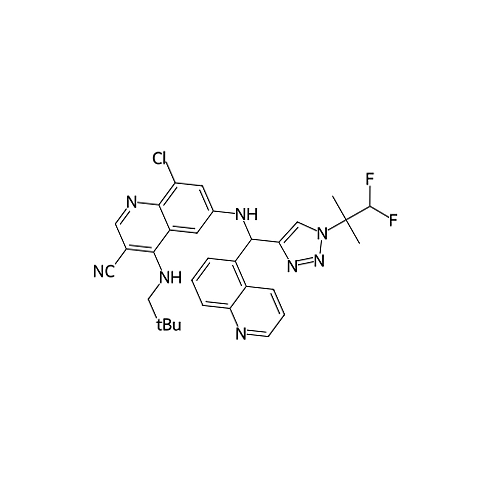 CC(C)(C)CNc1c(C#N)cnc2c(Cl)cc(NC(c3cn(C(C)(C)C(F)F)nn3)c3cccc4ncccc34)cc12